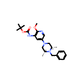 COc1ncc(N2C[C@@H](C)N(Cc3ccccc3)[C@@H](C)C2)cc1NC(=O)OC(C)(C)C